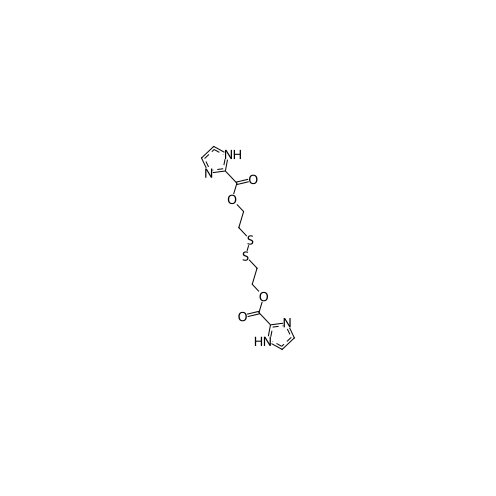 O=C(OCCSSCCOC(=O)c1ncc[nH]1)c1ncc[nH]1